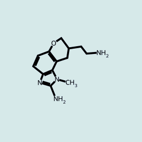 Cn1c(N)nc2ccc3c(c21)CC(CCN)CO3